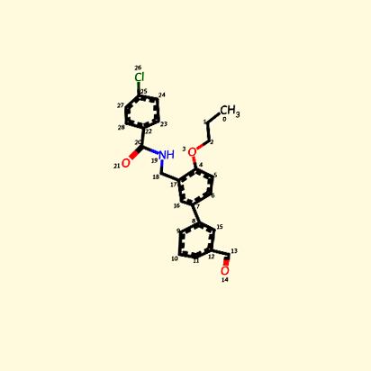 CCCOc1ccc(-c2cccc(C=O)c2)cc1CNC(=O)c1ccc(Cl)cc1